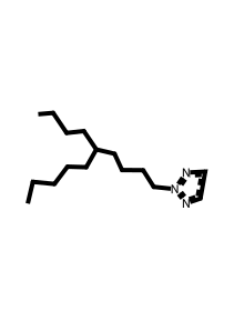 CCCCCC(CCCC)CCCCn1nccn1